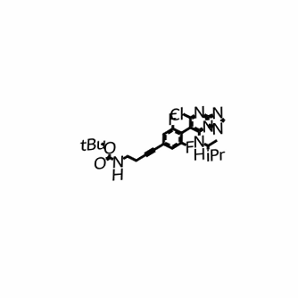 CC(C)C(C)Nc1c(-c2c(F)cc(C#CCCNC(=O)OC(C)(C)C)cc2F)c(Cl)nc2ncnn12